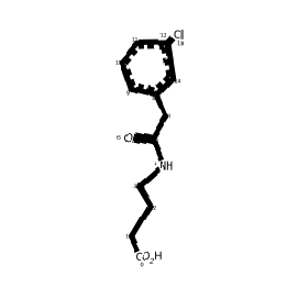 O=C(O)CCCNC(=O)Cc1cccc(Cl)c1